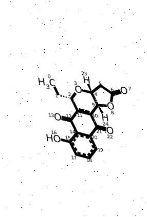 CC[C@@H]1O[C@@H]2CC(=O)O[C@@H]2C2=C1C(=O)c1c(O)cccc1C2=O